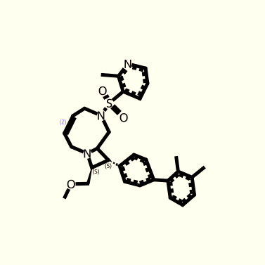 COC[C@@H]1[C@@H](c2ccc(-c3cccc(C)c3C)cc2)C2CN(S(=O)(=O)c3cccnc3C)C/C=C\CN21